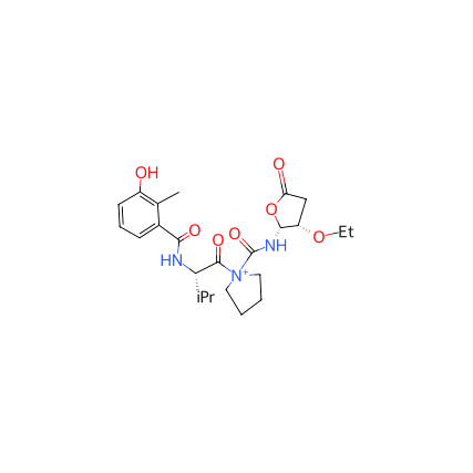 CCO[C@H]1CC(=O)O[C@H]1NC(=O)[N+]1(C(=O)[C@@H](NC(=O)c2cccc(O)c2C)C(C)C)CCCC1